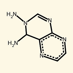 NC1c2nccnc2N=CN1N